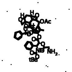 CC(=O)O[C@H]1C(=O)[C@]23C[C@H]2C[C@H]2OC[C@@]2(OC(C)=O)[C@H]3[C@H](OC(=O)c2ccccc2)[C@]2(O)C[C@H](OC(=O)[C@H](OC(=O)CN)[C@@H](NC(=O)OC(C)(C)C)c3ccccc3)C(C)=C1C2(C)C